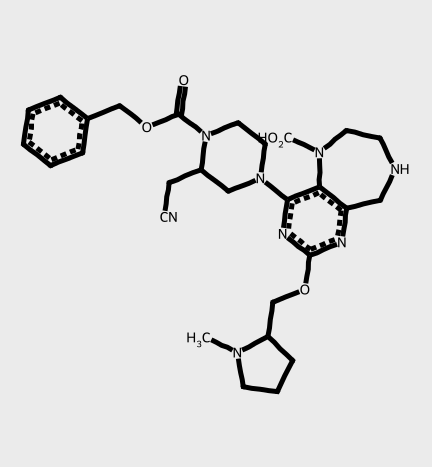 CN1CCCC1COc1nc2c(c(N3CCN(C(=O)OCc4ccccc4)C(CC#N)C3)n1)N(C(=O)O)CCNC2